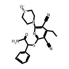 CCc1c(C#N)c(SC(C(N)=O)c2ccccc2)nc(N2CC[S+]([O-])CC2)c1C#N